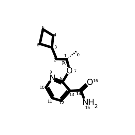 C[C@@H](CC1CCC1)Oc1ncccc1C(N)=O